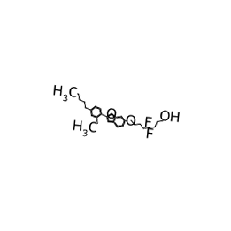 CCCCCc1ccc(-c2cc3ccc(OCCCC(F)(F)CCCO)cc3o2)c(CC)c1